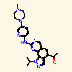 CC(=O)c1cc2cnc(Nc3ccc(N4CCN(C)CC4)cn3)nc2c2c1cnn2C(C)C